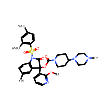 CCOc1ncccc1C1(OC(=O)N2CCC(N3CCN(C(C)C)CC3)CC2)C(=O)N(S(=O)(=O)c2ccc(OC)cc2OC)c2ccc(C#N)cc21